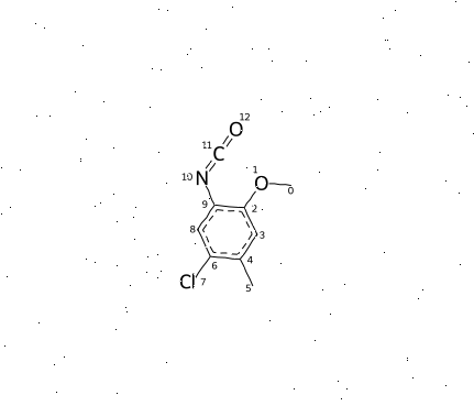 COc1cc(C)c(Cl)cc1N=C=O